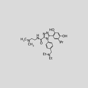 CCN(CC)Cc1ccc(-n2c(C(=O)NCCN(C)C)nnc2-c2cc(C(C)C)c(O)cc2O)cc1